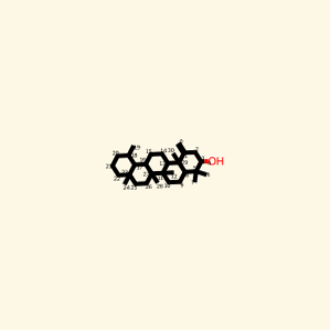 C=C1CC(O)C(C)(C)C2CCC3(C)C(CCC4C5C(C)CCCC5(C)CCC43C)C12C